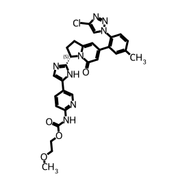 COCCOC(=O)Nc1ccc(-c2cnc([C@@H]3CCc4cc(-c5cc(C)ccc5-n5cc(Cl)nn5)cc(=O)n43)[nH]2)cn1